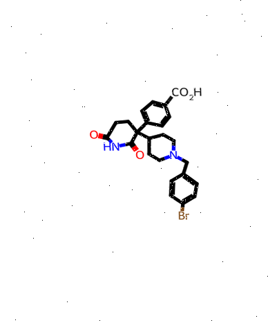 O=C1CCC(c2ccc(C(=O)O)cc2)(C2CCN(Cc3ccc(Br)cc3)CC2)C(=O)N1